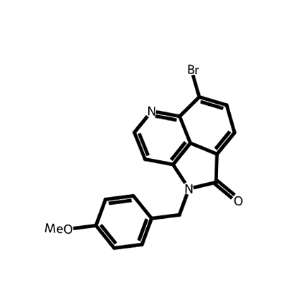 COc1ccc(CN2C(=O)c3ccc(Br)c4nccc2c34)cc1